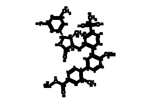 COc1ncc(-c2ccc(C(=O)OC(C)(C)C)cc2C)cc1-c1cnc(S(C)(=O)=O)nc1CN1C(=O)O[C@H](c2cc(C)cc(F)c2)[C@@H]1C